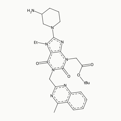 CCn1c(N2CCCC(N)C2)nc2c1c(=O)n(Cc1nc(C)c3ccccc3n1)c(=O)n2CC(=O)OC(C)(C)C